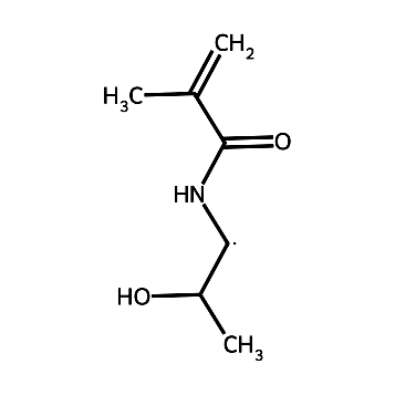 C=C(C)C(=O)N[CH]C(C)O